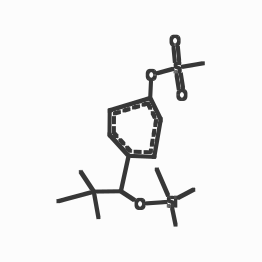 CC(C)(C)C(O[Si](C)(C)C)c1ccc(OS(C)(=O)=O)cc1